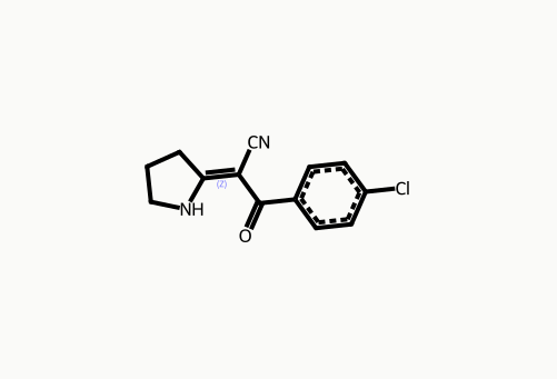 N#C/C(C(=O)c1ccc(Cl)cc1)=C1\CCCN1